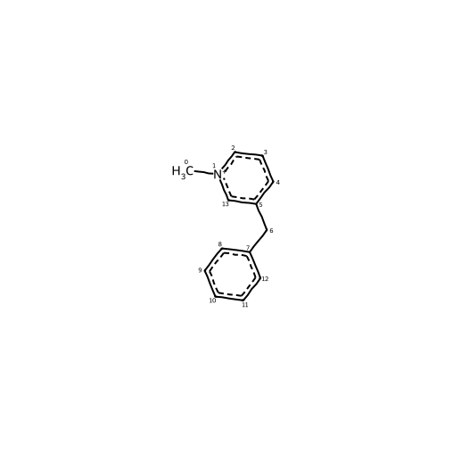 C[n+]1cccc(Cc2ccccc2)c1